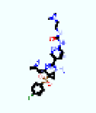 C=C(N)/C=C(\N=C(/N)C(=CN)/C=C\CNC(=O)NCCN(C)C)C1(S(=O)(=O)c2ccc(F)cc2)CC1